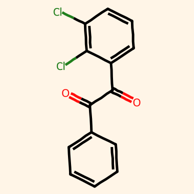 O=C(C(=O)c1cccc(Cl)c1Cl)c1ccccc1